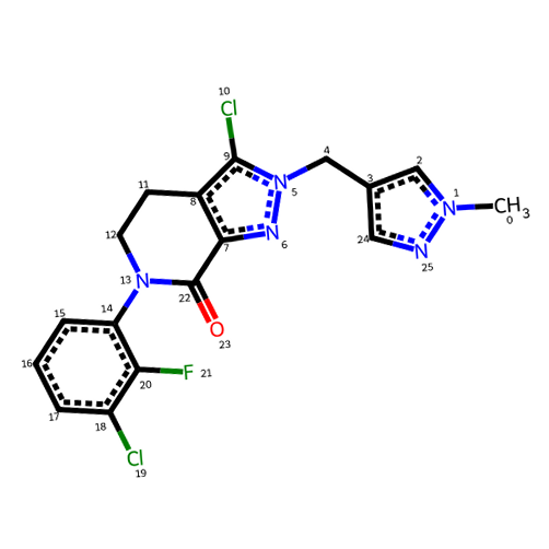 Cn1cc(Cn2nc3c(c2Cl)CCN(c2cccc(Cl)c2F)C3=O)cn1